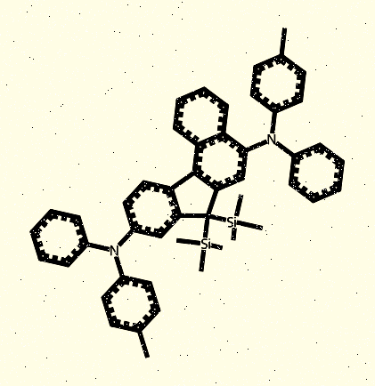 Cc1ccc(N(c2ccccc2)c2ccc3c(c2)C([Si](C)(C)C)([Si](C)(C)C)c2cc(N(c4ccccc4)c4ccc(C)cc4)c4ccccc4c2-3)cc1